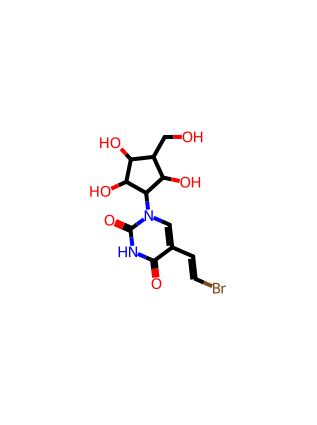 O=c1[nH]c(=O)n(C2C(O)C(O)C(CO)C2O)cc1C=CBr